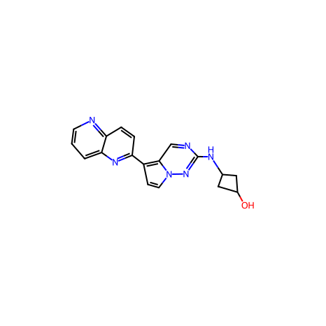 OC1CC(Nc2ncc3c(-c4ccc5ncccc5n4)ccn3n2)C1